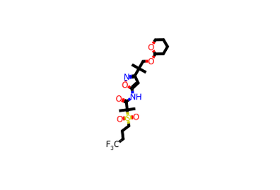 CC(C)(COC1CCCCO1)c1cc(NC(=O)C(C)(C)S(=O)(=O)CCCC(F)(F)F)on1